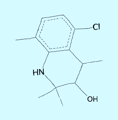 Cc1ccc(Cl)c2c1NC(C)(C)C(O)C2C